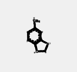 CC(C)COc1ccc2c(c1)OCO2